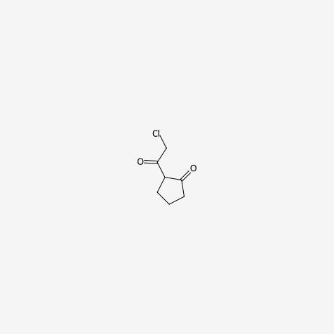 O=C(CCl)C1CCCC1=O